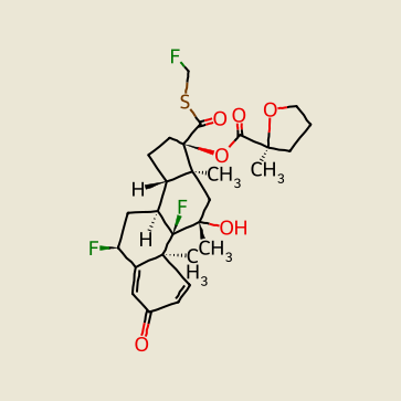 C[C@]1(O)C[C@@]2(C)[C@@H](CC[C@]2(OC(=O)[C@]2(C)CCCO2)C(=O)SCF)[C@@H]2C[C@H](F)C3=CC(=O)C=C[C@]3(C)[C@]21F